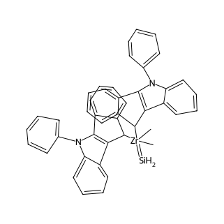 [CH3][Zr]([CH3])(=[SiH2])([CH]1c2ccccc2-c2c1c1ccccc1n2-c1ccccc1)[CH]1c2ccccc2-c2c1c1ccccc1n2-c1ccccc1